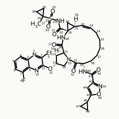 CCc1nc2cccc(F)c2nc1O[C@@H]1C[C@H]2C(=O)N[C@]3(C(=O)NS(=O)(=O)C4(C)CC4)C[C@H]3/C=C\CCCCC[C@H](NC(=O)c3cc(C4CC4)on3)C(=O)N2C1